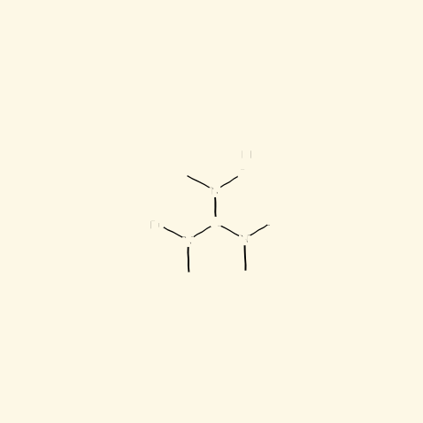 CCN(C)[S+](N(C)CC)N(C)CC.F.F